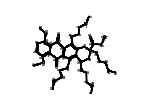 COCCOc1c2c(c(OCCOC)c3c1C(=O)c1c(OC)ccc(OC)c1C3=O)C(OCCOC)CC(OCCOC)(C(=O)CBr)C2